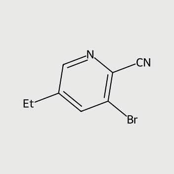 CCc1cnc(C#N)c(Br)c1